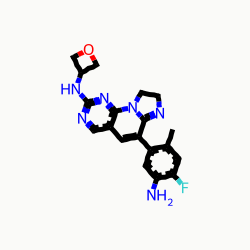 Cc1cc(F)c(N)cc1C1=Cc2cnc(NC3COC3)nc2N2CCN=C12